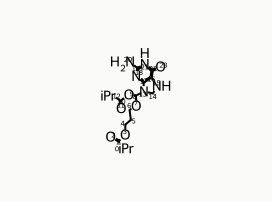 CC(C)C(=O)OCCCOC(OC(=O)C(C)C)N1CNc2c1nc(N)[nH]c2=O